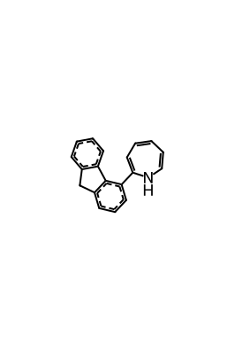 C1=CC=C(c2cccc3c2-c2ccccc2C3)NC=C1